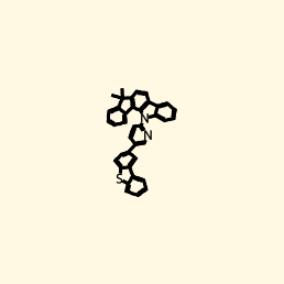 CC1(C)c2ccccc2-c2c1ccc1c3ccccc3n(-c3ccc(-c4ccc5sc6ccccc6c5c4)cn3)c21